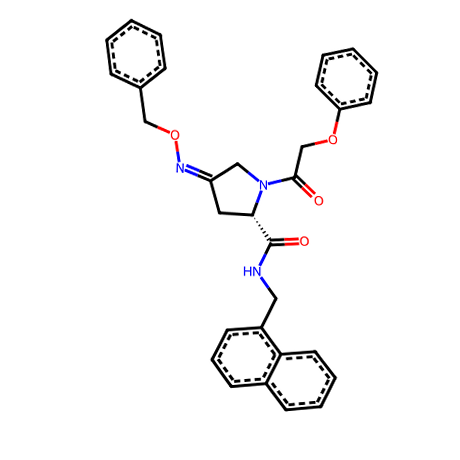 O=C(NCc1cccc2ccccc12)[C@@H]1CC(=NOCc2ccccc2)CN1C(=O)COc1ccccc1